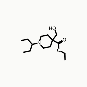 CCOC(=O)C1(CO)CCN(C(CC)CC)CC1